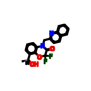 C[C@@H](O)c1cccc2c1OC(F)(F)C(=O)N2Cc1ccc2ccccc2n1